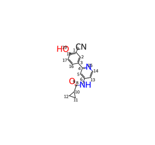 N#Cc1cc(-c2cc(NC(=O)C3CC3)ccn2)ccc1O